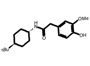 CCCC[C@H]1CC[C@H](NC(=O)Cc2ccc(O)c(OC)c2)CC1